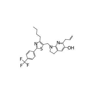 C=CCc1nc2c(cc1O)CCN2Cc1sc(-c2ccc(C(F)(F)F)cc2)nc1CCCC